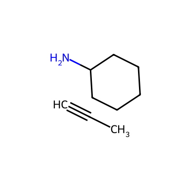 C#CC.NC1CCCCC1